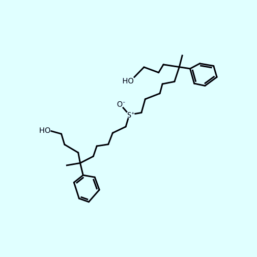 CC(CCCO)(CCCCC[S+]([O-])CCCCCC(C)(CCCO)c1ccccc1)c1ccccc1